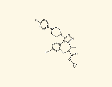 CC1c2nnc(N3CCN(c4ccc(F)cn4)CC3)n2-c2ccc(Cl)cc2CN1C(=O)OC1CC1